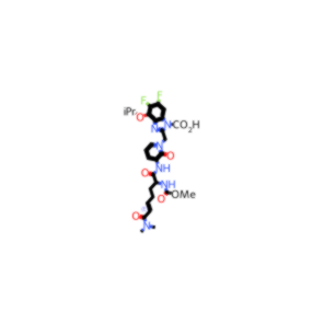 COC(=O)NC(CC/C=C/C(=O)N(C)C)C(=O)Nc1cccn(Cc2nc3c(OC(C)C)c(F)c(F)cc3n2C(=O)O)c1=O